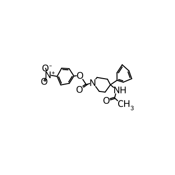 CC(=O)NC1(c2ccccc2)CCN(C(=O)Oc2ccc([N+](=O)[O-])cc2)CC1